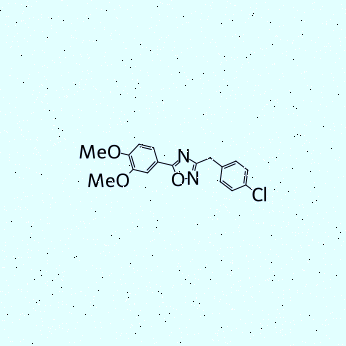 COc1ccc(-c2nc(Cc3ccc(Cl)cc3)no2)cc1OC